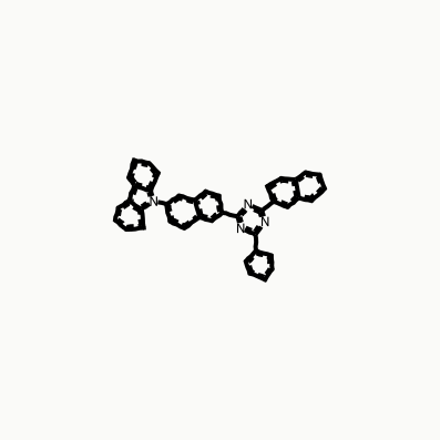 c1ccc(-c2nc(-c3ccc4ccccc4c3)nc(-c3ccc4cc(-n5c6ccccc6c6ccccc65)ccc4c3)n2)cc1